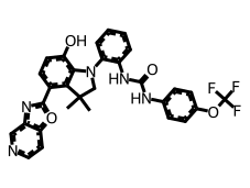 CC1(C)CN(c2ccccc2NC(=O)Nc2ccc(OC(F)(F)F)cc2)c2c(O)ccc(-c3nc4cnccc4o3)c21